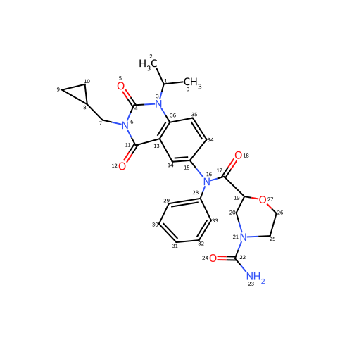 CC(C)n1c(=O)n(CC2CC2)c(=O)c2cc(N(C(=O)C3CN(C(N)=O)CCO3)c3ccccc3)ccc21